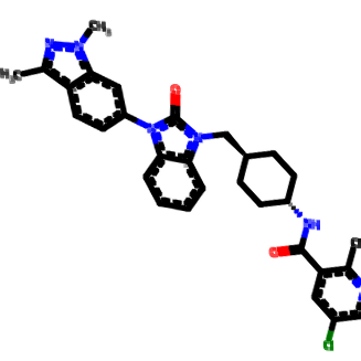 Cc1ncc(Cl)cc1C(=O)N[C@H]1CC[C@H](Cn2c(=O)n(-c3ccc4c(C)nn(C)c4c3)c3ccccc32)CC1